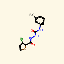 O=C(NNC(=O)C1SC=CC1Br)Nc1cccc(C(F)(F)F)c1